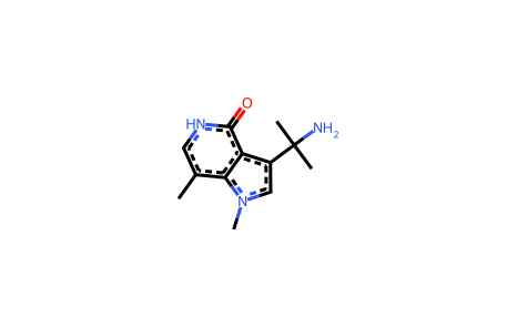 Cc1c[nH]c(=O)c2c(C(C)(C)N)cn(C)c12